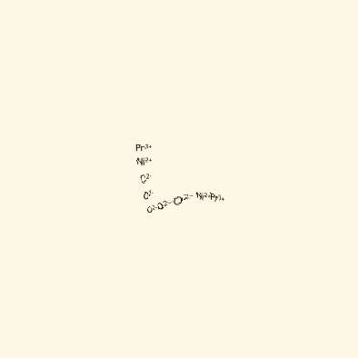 [Ni+2].[Ni+2].[O-2].[O-2].[O-2].[O-2].[O-2].[Pr+3].[Pr+3]